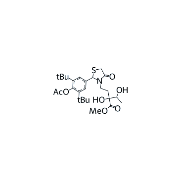 COC(=O)C(O)(CCN1C(=O)CSC1c1cc(C(C)(C)C)c(OC(C)=O)c(C(C)(C)C)c1)C(C)O